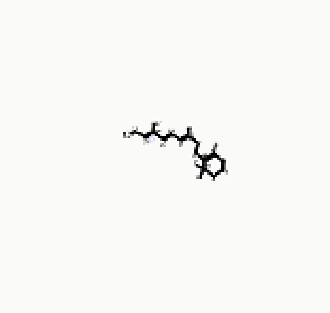 CC(C=CC1=C(C)CCCC1(C)C)=CC=C/C(C)=C/C=O